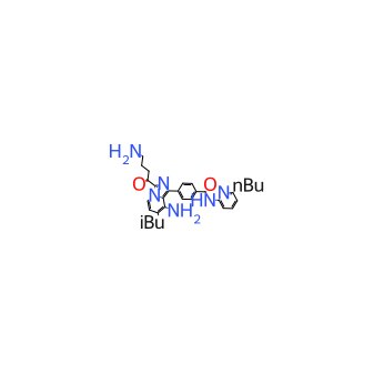 CCCCc1cccc(NC(=O)c2ccc(-c3nc(C(=O)CCCN)n4ccc(C(C)CC)c(N)c34)cc2)n1